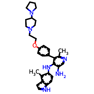 Cc1ncc(N)c(Nc2ccc3[nH]ccc3c2C)c1-c1ccc(OCCN2CCC(N3CCCC3)CC2)cc1